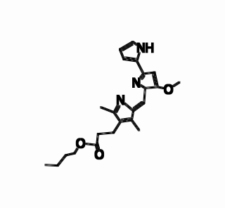 CCCCOC(=O)CCC1=C(C)/C(=C/C2N=C(c3ccc[nH]3)C=C2OC)N=C1C